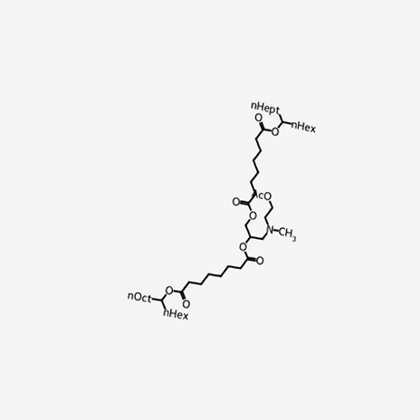 CCCCCCCCC(CCCCCC)OC(=O)CCCCCCC(=O)OC(COC(=O)CCCCCCC(=O)OC(CCCCCC)CCCCCCC)CN(C)CCOC(C)=O